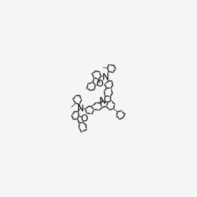 Cc1ccccc1N(c1ccc2cc3c4cc(-c5ccccc5)cc5c6cc7ccc(N(c8ccccc8C)c8cccc9c8oc8ccccc89)cc7cc6n(c3cc2c1)c45)c1cccc2c1oc1ccccc12